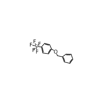 FS(F)(F)(F)(F)c1ccc(OCc2ccccc2)cc1